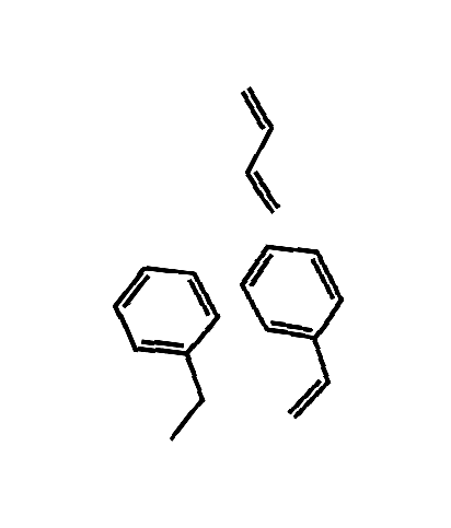 C=CC=C.C=Cc1ccccc1.CCc1ccccc1